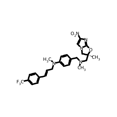 CN(Cc1ccc(N(C)CC=Cc2ccc(C(F)(F)F)cc2)cc1)C[C@@]1(C)Cn2cc([N+](=O)[O-])nc2O1